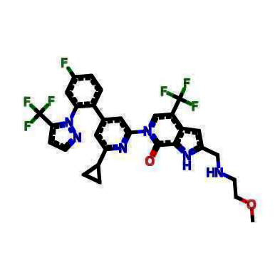 COCCNCc1cc2c(C(F)(F)F)cn(-c3cc(-c4ccc(F)cc4-n4nccc4C(F)(F)F)cc(C4CC4)n3)c(=O)c2[nH]1